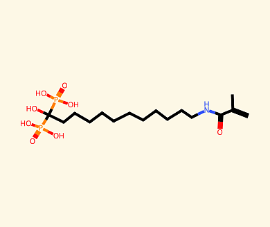 C=C(C)C(=O)NCCCCCCCCCCCC(O)(P(=O)(O)O)P(=O)(O)O